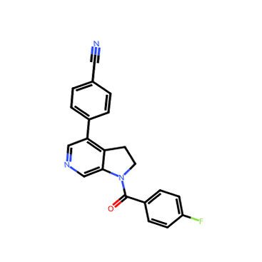 N#Cc1ccc(-c2cncc3c2CCN3C(=O)c2ccc(F)cc2)cc1